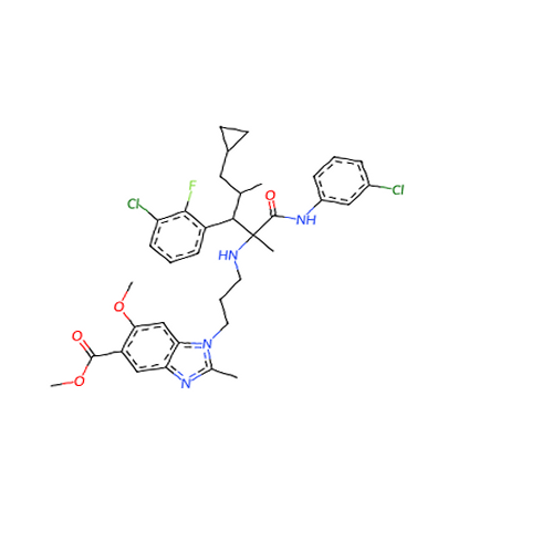 COC(=O)c1cc2nc(C)n(CCCNC(C)(C(=O)Nc3cccc(Cl)c3)C(c3cccc(Cl)c3F)C(C)CC3CC3)c2cc1OC